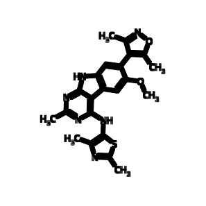 COc1cc2c(cc1-c1c(C)noc1C)[nH]c1nc(C)nc(Nc3sc(C)nc3C)c12